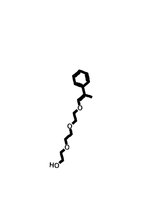 C/C(=C\OCCOCCOCCO)c1ccccc1